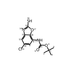 CC(C)(C)OC(=O)Nc1cc(Cl)cc2nc(S)oc12